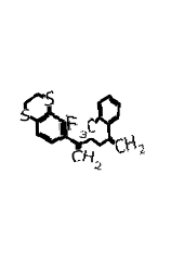 C=C(CCC(=C)c1ccccc1C(F)(F)F)c1ccc2c(c1)SCCS2